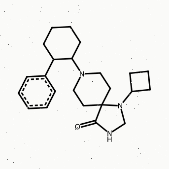 O=C1NCN(C2CCC2)C12CCN(C1CCCCC1c1ccccc1)CC2